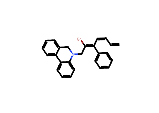 C=C/C=C\C(=C(/Br)CN1Cc2ccccc2-c2ccccc21)c1ccccc1